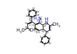 CC1=CC(c2ccccc2)C2C=CC(/C(=C\C(C)C)c3ccccc3)=C(N)C2N1